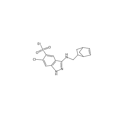 CCS(=O)(=O)c1cc2c(NCC3CC4C=CC3C4)n[nH]c2cc1Cl